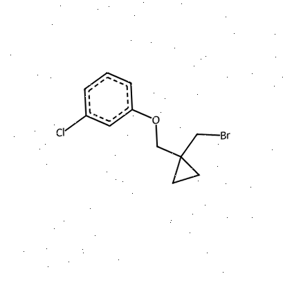 Clc1cccc(OCC2(CBr)CC2)c1